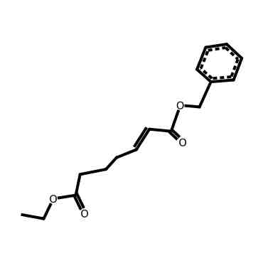 CCOC(=O)CCCC=CC(=O)OCc1ccccc1